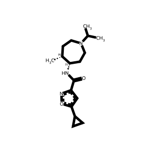 CC(C)N1CC[C@@H](C)[C@@H](NC(=O)c2cc(C3CC3)on2)CC1